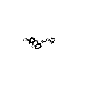 Clc1ccc(Cc2ccccc2SCOn2cncn2)c(Cl)c1